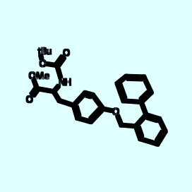 COC(=O)C(Cc1ccc(OCc2ccccc2-c2ccccc2)cc1)NC(=O)OC(C)(C)C